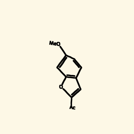 COc1ccc2cc(C(C)=O)oc2c1